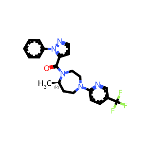 C[C@@H]1CCN(c2ccc(C(F)(F)F)cn2)CCN1C(=O)c1ccnn1-c1ccccc1